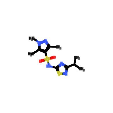 Cc1nn(C)c(C)c1S(=O)(=O)Nc1nc(C(C)C)ns1